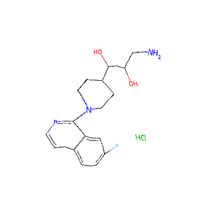 Cl.NCC(O)C(O)C1CCN(c2nccc3ccc(F)cc23)CC1